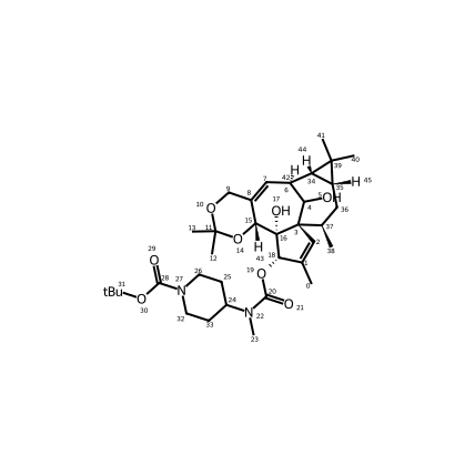 CC1=C[C@]23C(O)[C@@H](C=C4COC(C)(C)O[C@H]4[C@]2(O)[C@H]1OC(=O)N(C)C1CCN(C(=O)OC(C)(C)C)CC1)[C@H]1[C@@H](C[C@H]3C)C1(C)C